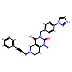 Cn1c2c(c(=O)n(Cc3ccc(-n4ccnc4)cc3)c1=O)CN(CC#Cc1ccccc1)CC2